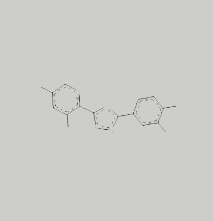 Fc1cc(-c2nnc(-c3ncc(C(F)(F)F)cc3Cl)o2)ccc1Cl